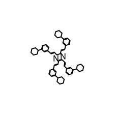 C(=Cc1nc(C=Cc2cccc(C3CCCCC3)c2)c(C=Cc2cccc(C3CCCCC3)c2)nc1C=Cc1cccc(C2CCCCC2)c1)c1cccc(C2CCCCC2)c1